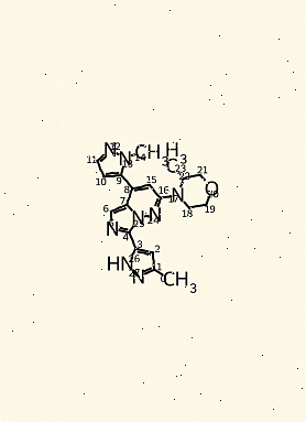 Cc1cc(-c2ncc3c(-c4ccnn4C)cc(N4CCOC[C@H]4C)nn23)[nH]n1